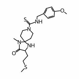 COc1ccc(CNC(=S)N2CCC3(CC2)NC(CCSC)C(=O)N3C)cc1